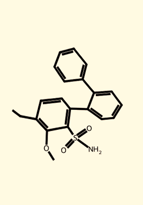 CCc1ccc(-c2ccccc2-c2ccccc2)c(S(N)(=O)=O)c1OC